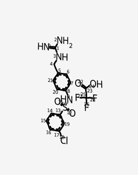 N=C(N)NCc1ccc(NS(=O)(=O)c2cccc(Cl)c2)cc1.O=C(O)C(F)(F)F